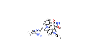 Cn1cc(C2=C(c3cn(CCCN/C(N)=C/[N+](=O)[O-])c4ccccc34)C(=O)NC2=O)c2ccccc21